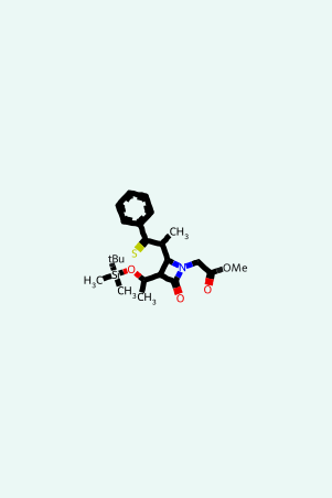 COC(=O)CN1C(=O)C(C(C)O[Si](C)(C)C(C)(C)C)C1C(C)C(=S)c1ccccc1